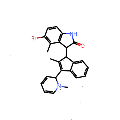 CC1=C(C2C=CC=CN2C)c2ccccc2C1C1C(=O)Nc2ccc(Br)c(C)c21